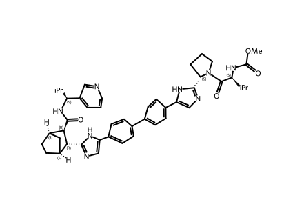 COC(=O)N[C@H](C(=O)N1CCC[C@H]1c1ncc(-c2ccc(-c3ccc(-c4cnc([C@@H]5[C@H]6CC[C@H](C6)[C@H]5C(=O)N[C@H](c5cccnc5)C(C)C)[nH]4)cc3)cc2)[nH]1)C(C)C